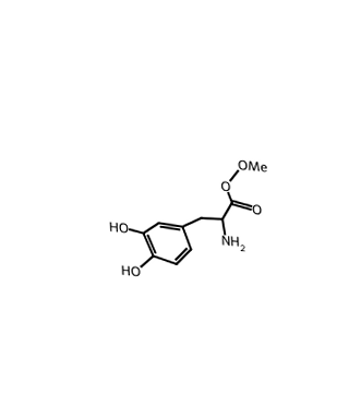 COOC(=O)C(N)Cc1ccc(O)c(O)c1